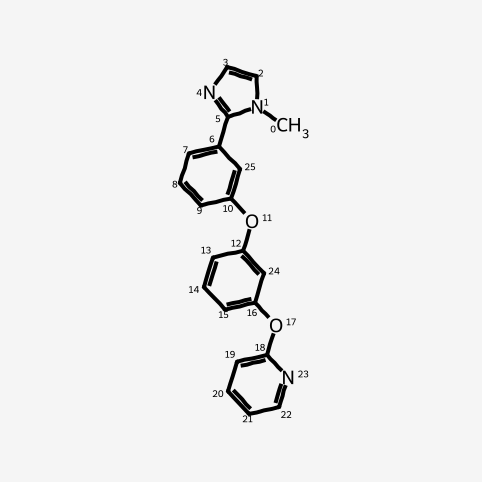 Cn1ccnc1-c1cccc(Oc2cccc(Oc3ccccn3)c2)c1